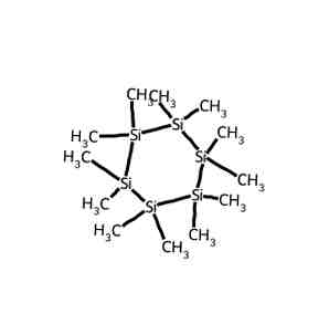 C[Si]1(C)[Si](C)(C)[Si](C)(C)[Si](C)(C)[Si](C)(C)[Si]1(C)C